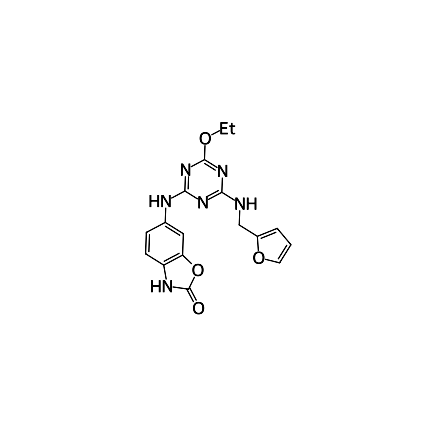 CCOc1nc(NCc2ccco2)nc(Nc2ccc3[nH]c(=O)oc3c2)n1